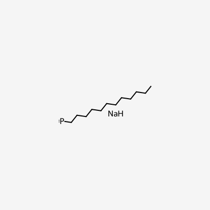 CCCCCCCCCCCC[P].[NaH]